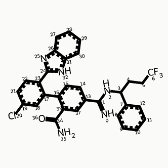 N=C(NC(CCC(F)(F)F)c1ccccc1)c1ccc(-c2cc(Cl)ccc2-c2nc3ccccc3[nH]2)c(C(N)=O)c1